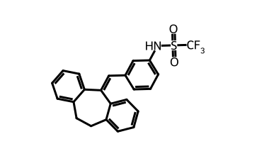 O=S(=O)(Nc1cccc(C=C2c3ccccc3CCc3ccccc32)c1)C(F)(F)F